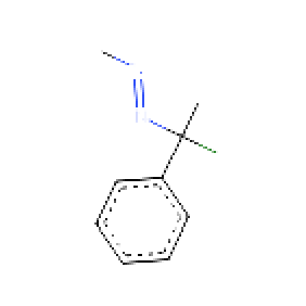 CC(C)(C)/N=N/C(C)(Cl)c1ccccc1